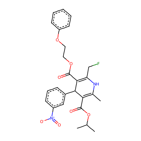 CC1=C(C(=O)OC(C)C)C(c2cccc([N+](=O)[O-])c2)C(C(=O)OCCOc2ccccc2)=C(CF)N1